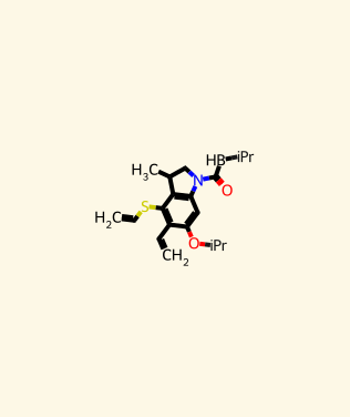 C=CSc1c(C=C)c(OC(C)C)cc2c1C(C)CN2C(=O)BC(C)C